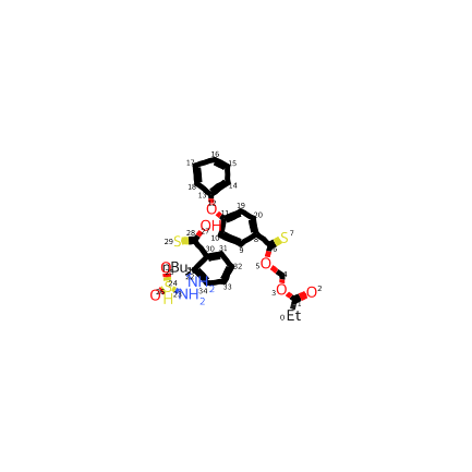 CCC(=O)OCOC(=S)c1ccc(Oc2ccccc2)cc1.CCCCN.N[SH](=O)=O.OC(=S)c1ccccc1